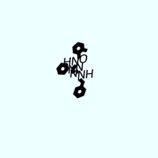 Cc1ccccc1C(=O)Nc1nc(NCCc2ccccc2)nn1-c1ccccc1